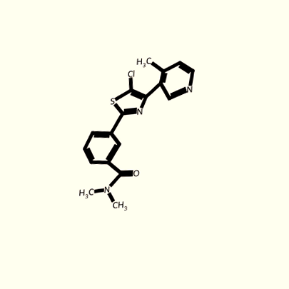 Cc1ccncc1-c1nc(-c2cccc(C(=O)N(C)C)c2)sc1Cl